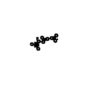 CC1CC=Cc2c1n(-c1ccccc1)c1ccc(-c3ccc(-n4c5ccccc5c5c(-c6cc(F)cc(-c7nc(-c8ccccc8)nc(-c8ccccc8)n7)c6)cccc54)cc3)cc21